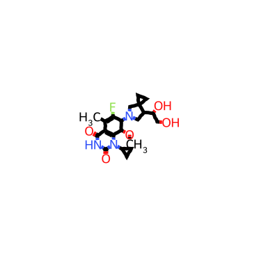 COC1c2c(c(=O)[nH]c(=O)n2C2CC2)C(C)=C(F)C1N1CC(C(O)CO)C2(CC2)C1